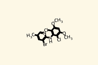 COc1cc(OC)c(Cl)c(Nc2ncc(C)cc2Br)c1Cl